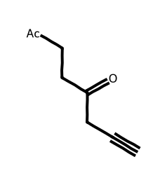 C#CCC(=O)CCC(C)=O